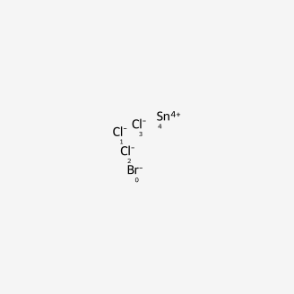 [Br-].[Cl-].[Cl-].[Cl-].[Sn+4]